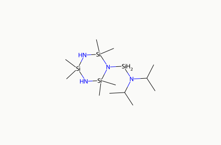 CC(C)N([SiH2]N1[Si](C)(C)N[Si](C)(C)N[Si]1(C)C)C(C)C